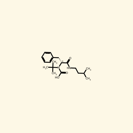 CC(C)CCNC(=O)[C@@H](Cc1ccccc1)N(C(=O)O)C(C)(C)C